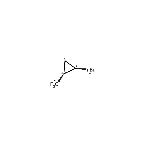 CCCC[C@@H]1C[C@@H]1C(F)(F)F